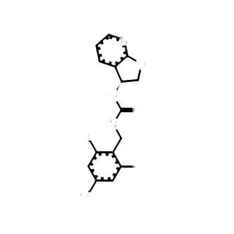 Cc1cc(Cl)cc(Cl)c1CNC(=O)O[C@@H]1COc2ncccc21